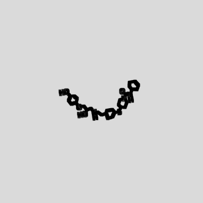 O=C(Nc1ccccc1)N1CCC(Sc2ccc(CCNCC(O)COc3ccc(O)cc3)cc2)CC1